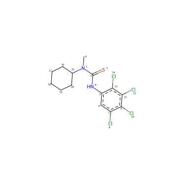 CN(C(=S)Nc1cc(Cl)c(Cl)c(Cl)c1Cl)C1CCCCC1